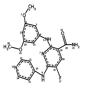 COc1cc(Nc2nc(Nc3ccncc3)c(F)cc2C(N)=O)cc(OC)c1